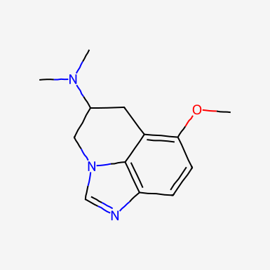 COc1ccc2ncn3c2c1CC(N(C)C)C3